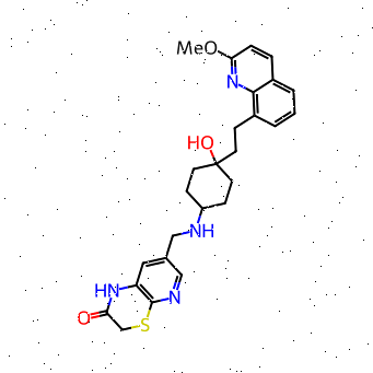 COc1ccc2cccc(CCC3(O)CCC(NCc4cnc5c(c4)NC(=O)CS5)CC3)c2n1